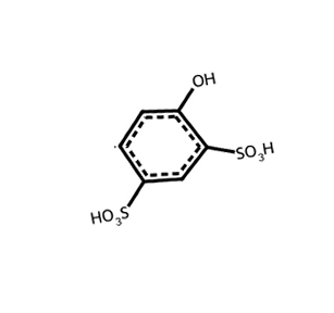 O=S(=O)(O)c1[c]cc(O)c(S(=O)(=O)O)c1